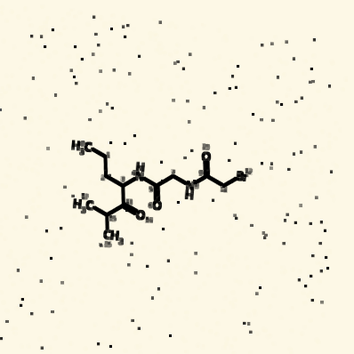 CCCC(NC(=O)CNC(=O)CBr)C(=O)C(C)C